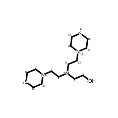 OCCN(CCN1CCSCC1)CCN1CCSCC1